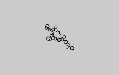 CC(COc1ccccc1)(CO[C@H]1[C@H](OC2CCCCO2)CC(=O)[C@@H]1C/C=C\CCCC(=O)Oc1ccc(NC(=O)c2ccccc2)cc1)OC1CCCCO1